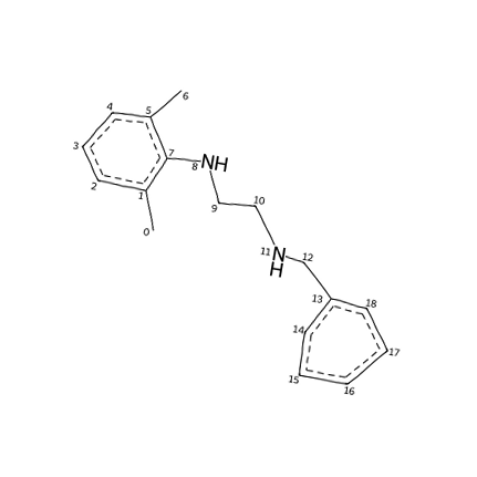 Cc1cccc(C)c1NCCNCc1ccccc1